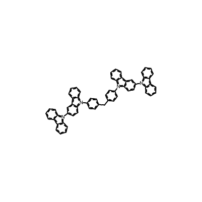 c1ccc2c(c1)c1ccccc1n2-c1ccc2c(c1)c1ccccc1n2-c1ccc(Cc2ccc(-n3c4ccccc4c4cc(-n5c6ccccc6c6ccccc65)ccc43)cc2)cc1